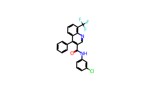 O=C(Nc1cccc(Cl)c1)c1cnc2c(C(F)(F)F)cccc2c1-c1ccccc1